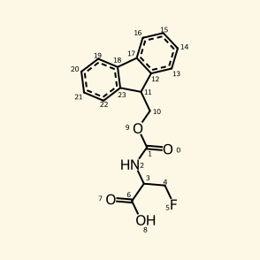 O=C(NC(CF)C(=O)O)OCC1c2ccccc2-c2ccccc21